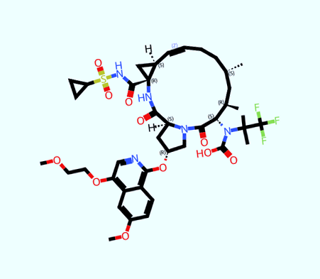 COCCOc1cnc(O[C@@H]2C[C@H]3C(=O)N[C@]4(C(=O)NS(=O)(=O)C5CC5)C[C@H]4/C=C\CC[C@H](C)C[C@@H](C)[C@H](N(C(=O)O)C(C)(C)C(F)(F)F)C(=O)N3C2)c2ccc(OC)cc12